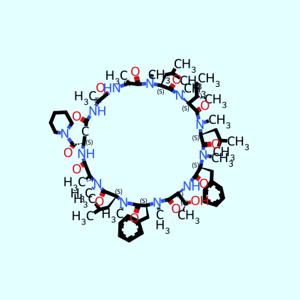 CC[C@H](C)[C@H]1C(=O)N(C)[C@@H](CC(C)C)C(=O)N(C)[C@@H](Cc2ccccc2)C(=O)N[C@@H]([C@@H](C)O)C(=O)N(C)[C@@H](Cc2ccccc2)C(=O)N(C)[C@@H](CC(C)C)C(=O)N(C)[C@@H](C)C(=O)N[C@H](C(=O)N2CCCCC2)CC(=O)N[C@H](C)C(=O)N[C@@H](C)C(=O)N(C)[C@@H](CC(C)C)C(=O)N1C